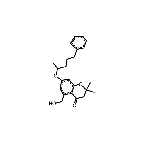 CC(CCCc1ccccc1)Oc1cc(CO)c2c(c1)OC(C)(C)CC2=O